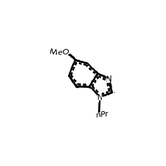 CCCn1[c]nc2cc(OC)ccc21